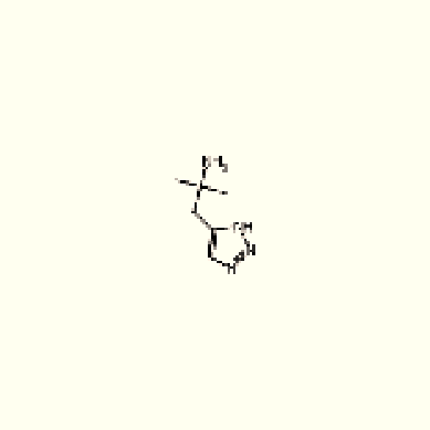 CC(C)(N)Cc1cnn[nH]1